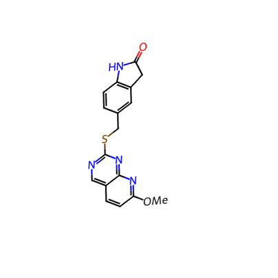 COc1ccc2cnc(SCc3ccc4c(c3)CC(=O)N4)nc2n1